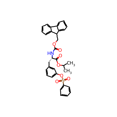 CC(C)OC(=O)[C@H](Cc1cccc(OS(=O)(=O)c2ccccc2)c1)NC(=O)OCC1c2ccccc2-c2ccccc21